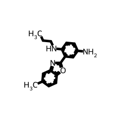 CCCNc1ccc(N)cc1-c1nc2cc(C)ccc2o1